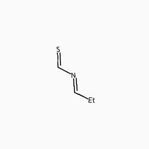 CCC=NC=S